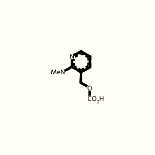 CNc1ncccc1COC(=O)O